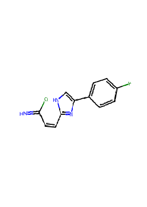 N=C(Cl)/C=C\c1nc(-c2ccc(F)cc2)c[nH]1